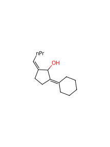 CCCC=C1CCC(=C2CCCCC2)C1O